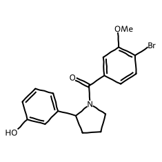 COc1cc(C(=O)N2CCCC2c2cccc(O)c2)ccc1Br